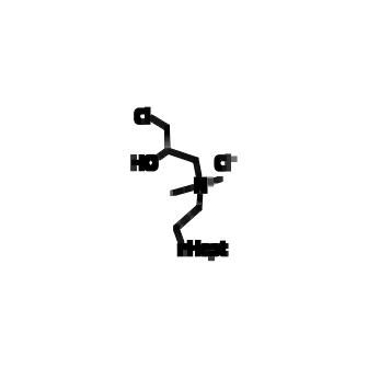 CCCCCCCCC[N+](C)(C)CC(O)CCl.[Cl-]